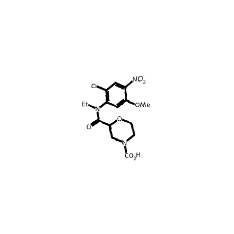 CCN(C(=O)C1CN(C(=O)O)CCO1)c1cc(OC)c([N+](=O)[O-])cc1Cl